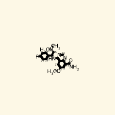 COc1cc(C(N)=O)c2ncnc(NC(CN(C)C)c3ccc(F)cc3)c2c1